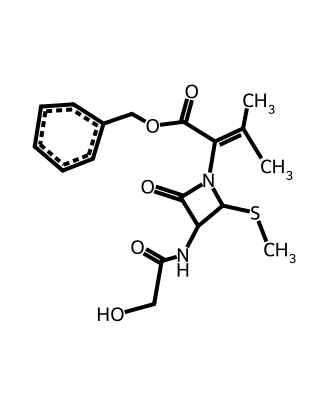 CSC1C(NC(=O)CO)C(=O)N1C(C(=O)OCc1ccccc1)=C(C)C